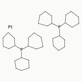 C1CCC(P(C2CCCCC2)C2CCCCC2)CC1.C1CCC(P(C2CCCCC2)C2CCCCC2)CC1.[Pt]